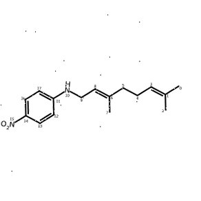 CC(C)=CCC/C(C)=C/[CH]Nc1ccc([N+](=O)[O-])cc1